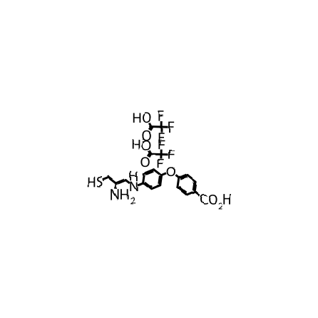 N[C@@H](CS)CNc1ccc(Oc2ccc(C(=O)O)cc2)cc1.O=C(O)C(F)(F)F.O=C(O)C(F)(F)F